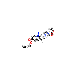 COCCOC(=O)c1ccc(Nc2cccc(N3CCN(C4CCOC4=O)CC3)c2)c([N+](=O)[O-])c1